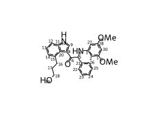 COc1cc(NC(C(=O)c2c[nH]c3cccc(CCCO)c23)c2ccccc2)cc(OC)c1